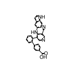 N#Cc1cncc(-c2ccccc2-c2ccc(C(=O)O)cc2)c1Nc1ccc2[nH]ccc2c1